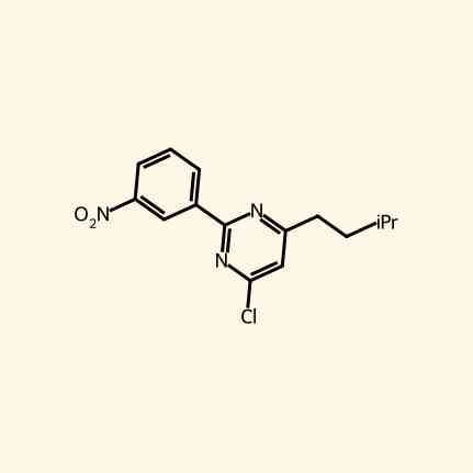 CC(C)CCc1cc(Cl)nc(-c2cccc([N+](=O)[O-])c2)n1